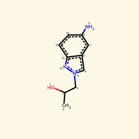 CC(O)Cn1cc2cc(N)ccc2n1